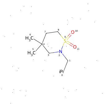 CC(C)CN1CC(C)(C)CCS1(=O)=O